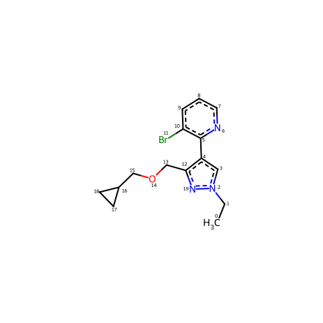 CCn1cc(-c2ncccc2Br)c(COCC2CC2)n1